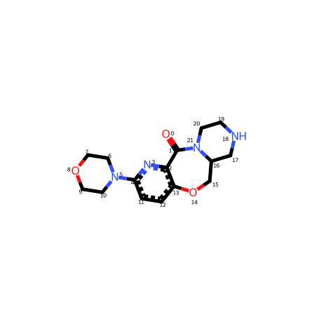 O=C1c2nc(N3CCOCC3)ccc2OCC2CNCCN12